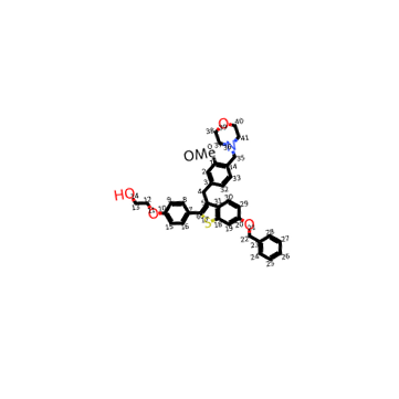 COc1cc(Cc2c(-c3ccc(OCCO)cc3)sc3cc(OCc4ccccc4)ccc23)ccc1CN1CCOCC1